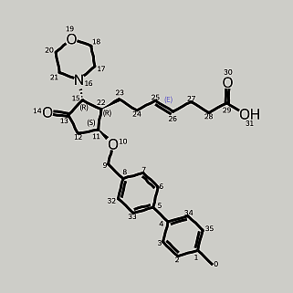 Cc1ccc(-c2ccc(CO[C@H]3CC(=O)[C@H](N4CCOCC4)[C@H]3CC/C=C/CCC(=O)O)cc2)cc1